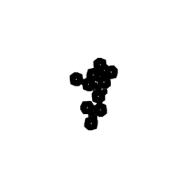 Cc1cc(-c2cccc3c2c2ccccc2n3-c2ccccc2)ccc1N(c1ccc(-c2ccccc2)cc1)c1cccc2c1-c1ccccc1C21c2ccccc2-c2ccccc21